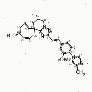 COc1cc(/C=C/c2nc3n(n2)CCCC32/C=C/C=C(C)\C=C/C2)ccc1-n1cnc(C)c1